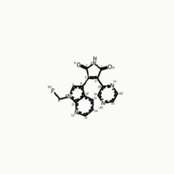 O=C1NC(=O)C(c2cn(CF)c3ncccc23)=C1c1cnccn1